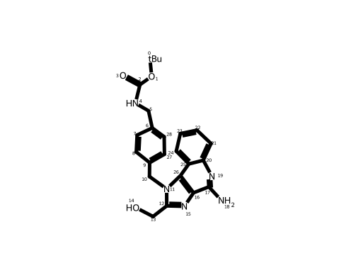 CC(C)(C)OC(=O)NCc1ccc(Cn2c(CO)nc3c(N)nc4ccccc4c32)cc1